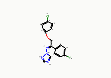 Fc1ccc(/C(COc2ccc(Cl)cc2)=N\n2cncn2)cc1